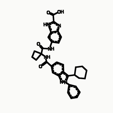 O=C(NC1(C(=O)Nc2ccc3nc(C(=O)O)[nH]c3c2)CCC1)c1ccc2c(C3CCCCC3)n(-c3ccccc3)nc2c1